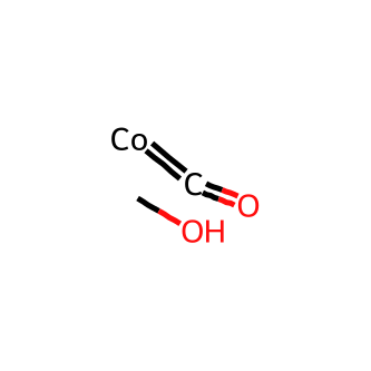 CO.O=[C]=[Co]